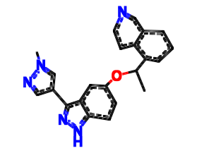 CC(Oc1ccc2[nH]nc(-c3cnn(C)c3)c2c1)c1cccc2cnccc12